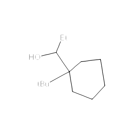 CCC(O)C1(C(C)(C)C)CCCCC1